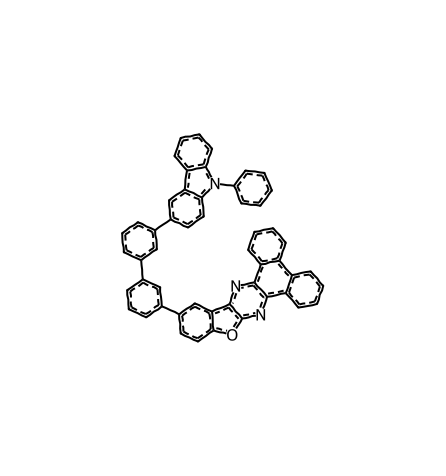 c1ccc(-n2c3ccccc3c3cc(-c4cccc(-c5cccc(-c6ccc7oc8nc9c%10ccccc%10c%10ccccc%10c9nc8c7c6)c5)c4)ccc32)cc1